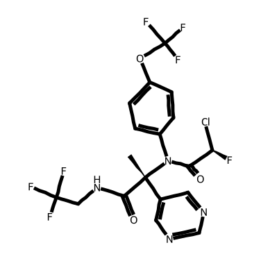 C[C@](C(=O)NCC(F)(F)F)(c1cncnc1)N(C(=O)[C@H](F)Cl)c1ccc(OC(F)(F)F)cc1